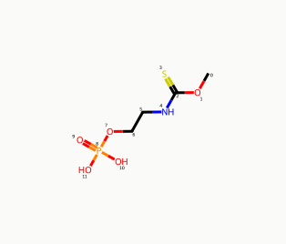 COC(=S)NCCOP(=O)(O)O